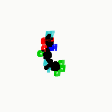 C[C@H](CS(=O)(=O)CC(F)(F)F)NC(=O)c1ccc(/C(F)=C/C(c2cc(Cl)c(Cl)c(Cl)c2)C(C)(F)F)cc1Cl